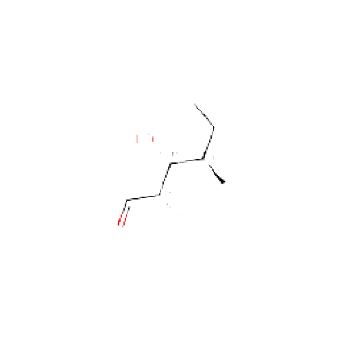 CC[C@@H](C)[C@@H](O)[C@H](F)C=O